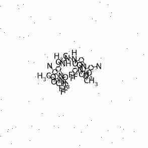 CCOC(=O)C1=C(C)N(c2cccc(C(F)(F)F)c2)C(=O)N(Cc2cccc(C(=O)NCCN(C)CCNC(=O)c3cccc(CN4C(=O)N(c5cccc(C(F)(F)F)c5)C(C)=C(C(=O)OCC)C4c4ccc(C#N)cc4)c3)c2)C1c1ccc(C#N)cc1